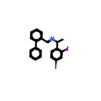 CC(N=Cc1ccccc1-c1ccccc1)c1ccc(I)cc1I